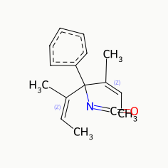 C/C=C(/C)C(N=C=O)(/C(C)=C\C)c1ccccc1